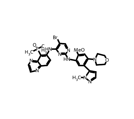 COc1cc(N2CCOCC2)c(-c2ccnn2C)cc1Nc1ncc(Br)c(Nc2ccc3nccnc3c2P(C)(C)=O)n1